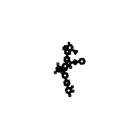 CC(C)n1cnc2cc(-c3ccc4c(c3)N(C3CC(N5CCCCC5)C3)C(=O)C43CCN(C(=O)C4[C@@H]5C[C@H]4CN(C(=O)C4CCN(c6ccc(C7CCC(=O)NC7=O)cn6)CC4)C5)CC3)nc(NC3CC3)c21